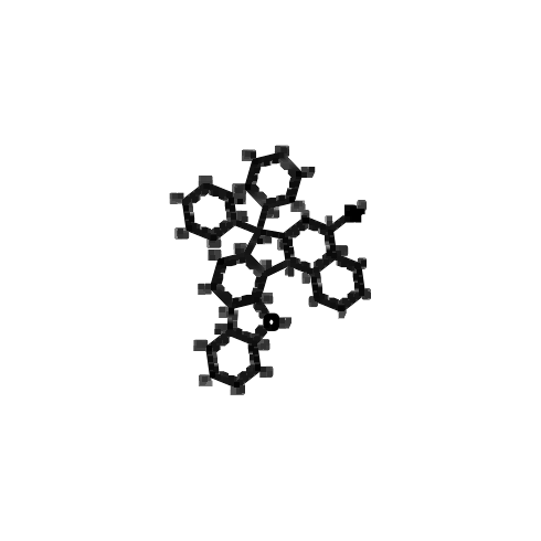 Brc1cc2c(c3ccccc13)-c1c(ccc3c1oc1ccccc13)C2(c1ccccc1)c1ccccc1